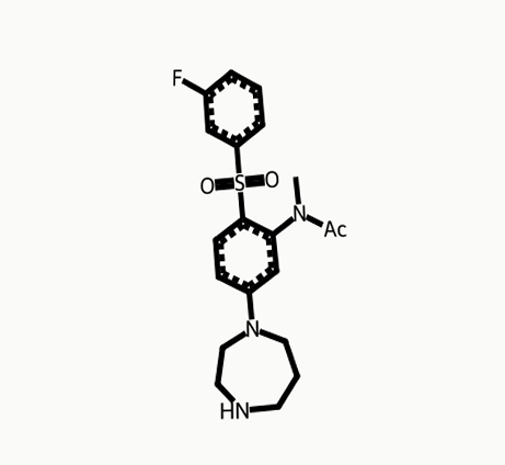 CC(=O)N(C)c1cc(N2CCCNCC2)ccc1S(=O)(=O)c1cccc(F)c1